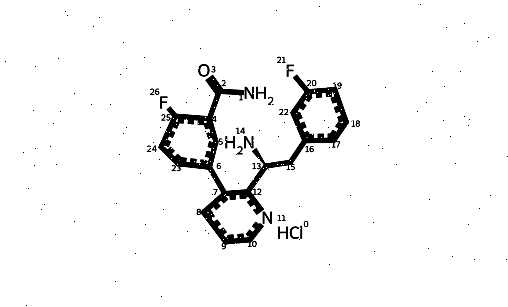 Cl.NC(=O)c1cc(-c2cccnc2[C@@H](N)Cc2cccc(F)c2)ccc1F